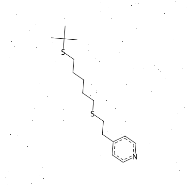 CC(C)(C)SCCCCCSCCc1ccncc1